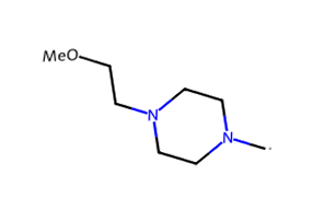 [CH2]N1CCN(CCOC)CC1